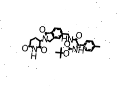 Cc1ccc([C@H](NC(=O)OC(C)(C)C)C(=O)NCc2ccc3c(c2)CN(C2CCC(=O)NC2=O)C3=O)cc1